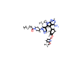 C=CC(=O)N1CCC(n2cc(-c3c(-c4ccc(Oc5cccc(OC)n5)cc4)c4c(N)ncnc4n3C)cn2)CC1